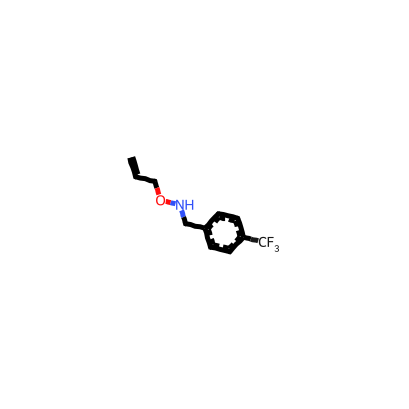 C=CCONCc1ccc(C(F)(F)F)cc1